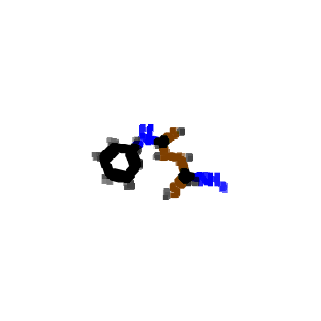 NC(=S)SSC(=S)Nc1ccccc1